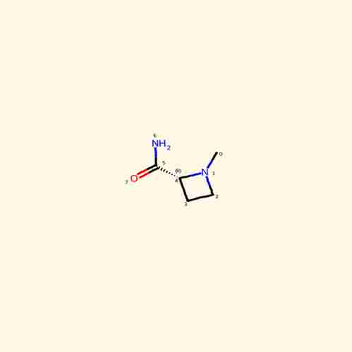 CN1CC[C@@H]1C(N)=O